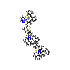 c1ccc(-n2c3cc(-c4cccc5c4sc4cc6c7cc8ccccc8cc7n(-c7cccc8ccc(-c9ccc%10c(c9)sc9c%10ccc%10c%11c%12ccccc%12ccc%11n(-c%11cccc%12ccccc%11%12)c%109)cc78)c6cc45)ccc3c3c4ccccc4c4c5ccccc5sc4c32)nc1